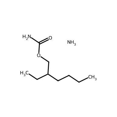 CCCCC(CC)COC(N)=O.N